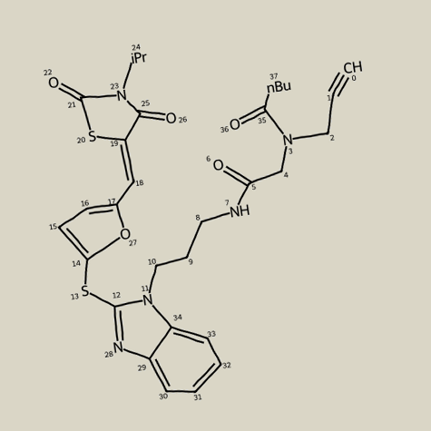 C#CCN(CC(=O)NCCCn1c(Sc2ccc(C=C3SC(=O)N(C(C)C)C3=O)o2)nc2ccccc21)C(=O)CCCC